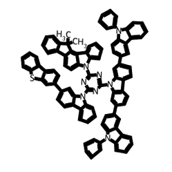 CC1(C)c2ccccc2-c2ccc3c(c21)c1ccccc1n3-c1nc(-n2c3ccccc3c3ccc(-c4ccc5c(c4)sc4ccccc45)cc32)nc(-n2c3cc(-c4ccc5c(c4)c4ccccc4n5-c4ccccc4)ccc3c3ccc(-c4ccc5c(c4)c4ccccc4n5-c4ccccc4)cc32)n1